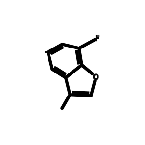 Cc1coc2c(F)c[c]cc12